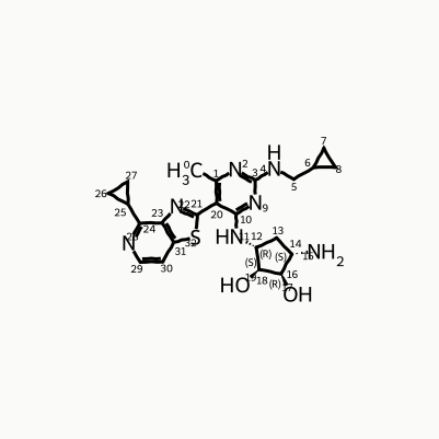 Cc1nc(NCC2CC2)nc(N[C@@H]2C[C@H](N)[C@@H](O)[C@H]2O)c1-c1nc2c(C3CC3)nccc2s1